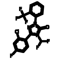 O=c1n(-c2ccccc2C(F)(F)F)nc(-c2ccc(F)cc2Cl)n1C(F)F